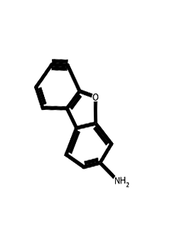 Nc1ccc2c(c1)oc1c#cccc12